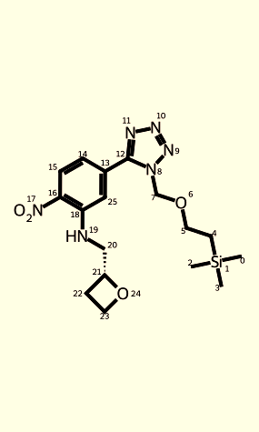 C[Si](C)(C)CCOCn1nnnc1-c1ccc([N+](=O)[O-])c(NC[C@H]2CCO2)c1